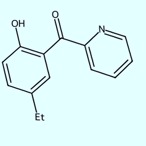 CCc1ccc(O)c(C(=O)c2ccccn2)c1